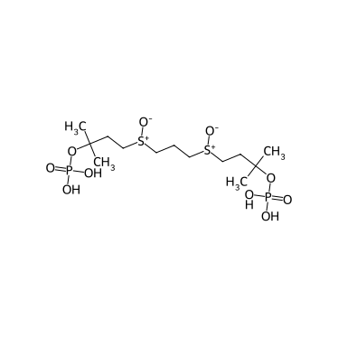 CC(C)(CC[S+]([O-])CCC[S+]([O-])CCC(C)(C)OP(=O)(O)O)OP(=O)(O)O